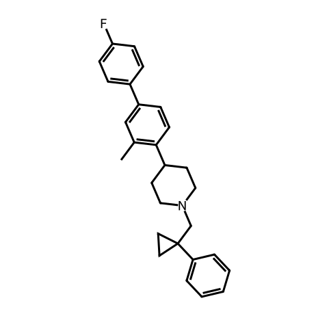 Cc1cc(-c2ccc(F)cc2)ccc1C1CCN(CC2(c3ccccc3)CC2)CC1